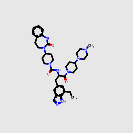 CCc1cc(CC(NC(=O)N2CCC(N3CCc4ccccc4NC3=O)CC2)C(=O)N2CCC(N3CCN(C)CC3)CC2)cc2cn[nH]c12